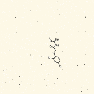 COC(=N)NC(=O)COc1ccc(Cl)cc1Cl